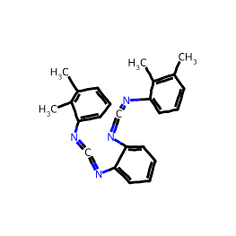 Cc1cccc(N=C=Nc2ccccc2N=C=Nc2cccc(C)c2C)c1C